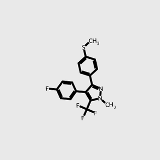 CSc1ccc(-c2nn(C)c(C(F)(F)F)c2-c2ccc(F)cc2)cc1